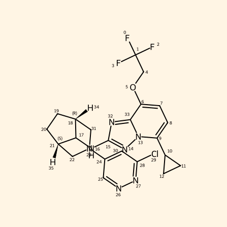 FC(F)(F)COc1ccc(C2CC2)n2nc(NC3[C@@H]4CC[C@H]3CN(c3cnnc(Cl)c3)C4)nc12